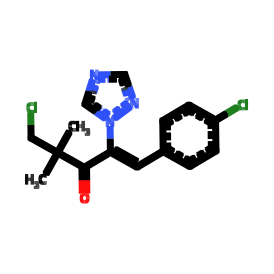 CC(C)(CCl)C(=O)C(=Cc1ccc(Cl)cc1)n1cncn1